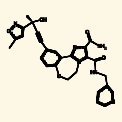 Cc1cc([C@](C)(O)C#Cc2ccc3c(c2)-c2nc(C(N)=O)c(C(=O)NCc4cccnc4)n2CCO3)no1